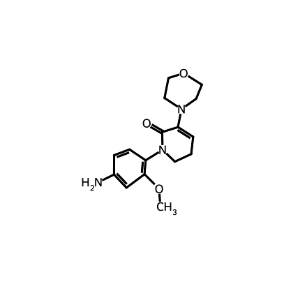 COc1cc(N)ccc1N1CCC=C(N2CCOCC2)C1=O